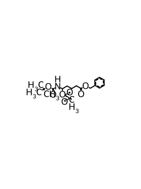 CC(C)(C)OC(=O)NC(CCCC(=O)OCc1ccccc1)OS(C)(=O)=O